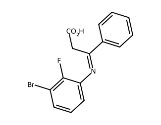 O=C(O)CC(=Nc1cccc(Br)c1F)c1ccccc1